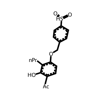 CCCc1c(OCc2ccc([SH](=O)=O)cc2)ccc(C(C)=O)c1O